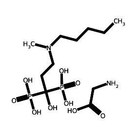 CCCCCN(C)CCC(O)(P(=O)(O)O)P(=O)(O)O.NCC(=O)O